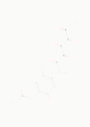 CCCC(=O)Nc1cc(Cl)c(N(C=O)C(=O)C(=O)C(=O)C(=O)C(=O)C=O)cc1O